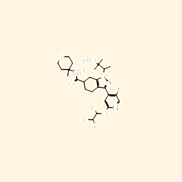 CC(n1nc(-c2cc(OC(F)C(F)F)ncc2F)c2c1CC(C(=O)NC1(C)CCSCC1)CC2)C(C)(C)O